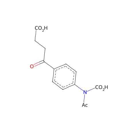 CC(=O)N(C(=O)O)c1ccc(C(=O)CCC(=O)O)cc1